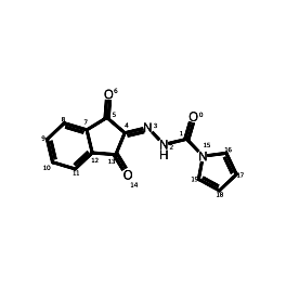 O=C(NN=c1c(=O)c2ccccc2c1=O)n1cccc1